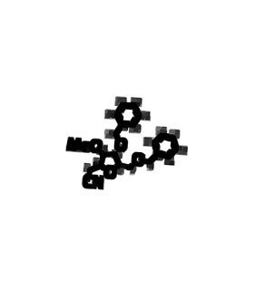 COC1C(CC#N)O[C@H](COCc2ccccc2)[C@H]1OCc1ccccc1